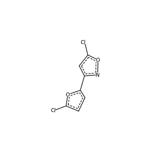 Clc1cc(-c2ccc(Cl)o2)no1